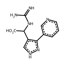 N=C(N)NC(C(=O)O)c1c[nH]nc1-c1cccnc1